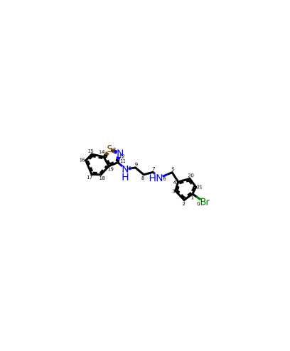 Brc1ccc(CNCCCNc2nsc3ccccc23)cc1